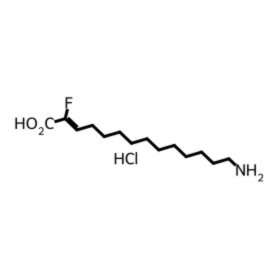 Cl.NCCCCCCCCCCC/C=C(\F)C(=O)O